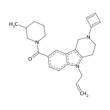 C=CCn1c2c(c3cc(C(=O)N4CCCC(C)C4)ccc31)CN(C1=CC=C1)CC2